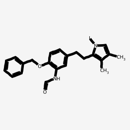 Cc1cn(I)c(CCc2ccc(OCc3ccccc3)c(NC=O)c2)c1C